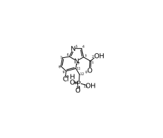 O=C(O)c1cnc2ccc(Cl)c(CP(=O)(O)O)n12